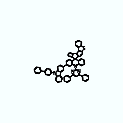 c1ccc(-c2ccc(-n3c4ccccc4c4cc(-c5ccc6c(c5)N(c5nc(-c7ccccc7)cc(-c7ccccc7)n5)c5ccccc5C65c6ccccc6-c6c5ccc5sc7ccccc7c65)ccc43)cc2)cc1